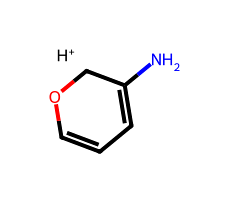 NC1=CC=COC1.[H+]